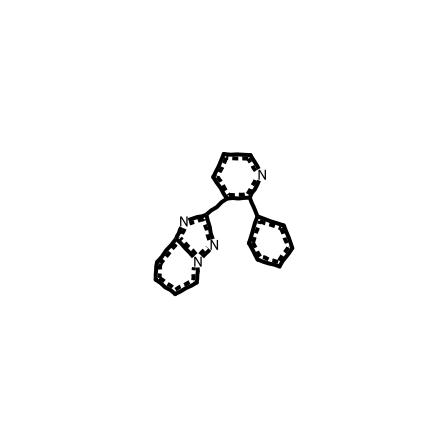 c1ccc(-c2ncccc2-c2nc3ccccn3n2)cc1